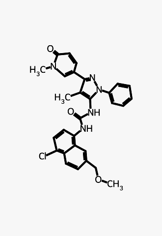 COCc1ccc2c(Cl)ccc(NC(=O)Nc3c(C)c(-c4ccc(=O)n(C)c4)nn3-c3ccccc3)c2c1